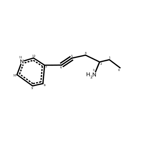 CCC(N)CC#Cc1cccnc1